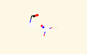 NC=O.O=[N+]([O-])O